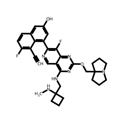 C#Cc1c(F)ccc2cc(O)cc(-c3ncc4c(NCC5(NC)CCC5)nc(OCC56CCCN5CCC6)nc4c3F)c12